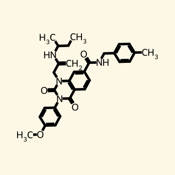 C=C(Cn1c(=O)n(-c2ccc(OC)cc2)c(=O)c2ccc(C(=O)NCc3ccc(C)cc3)cc21)NC(C)CC